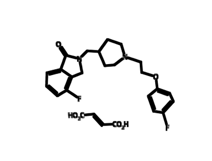 O=C(O)C=CC(=O)O.O=C1c2cccc(F)c2CN1CC1CCN(CCOc2ccc(F)cc2)CC1